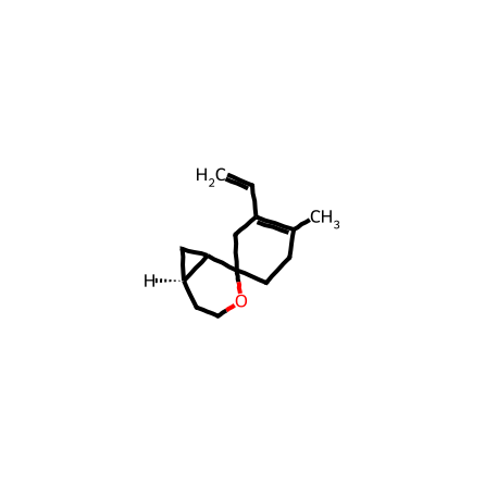 C=CC1=C(C)CCC2(C1)OCC[C@H]1CC12